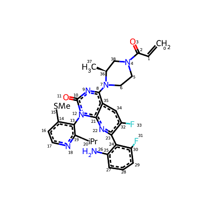 C=CC(=O)N1CCN(c2nc(=O)n(-c3c(SC)ccnc3C(C)C)c3nc(-c4c(N)cccc4F)c(F)cc23)[C@@H](C)C1